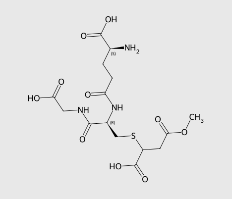 COC(=O)CC(SC[C@H](NC(=O)CC[C@H](N)C(=O)O)C(=O)NCC(=O)O)C(=O)O